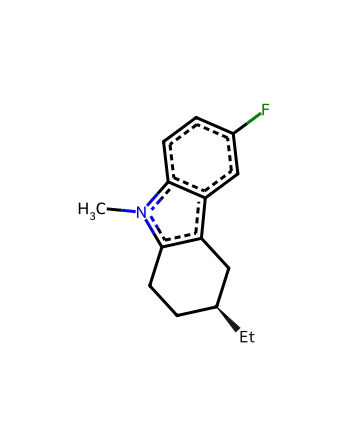 [CH2]C[C@H]1CCc2c(c3cc(F)ccc3n2C)C1